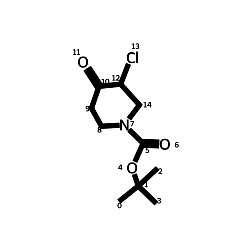 CC(C)(C)OC(=O)N1CCC(=O)C(Cl)C1